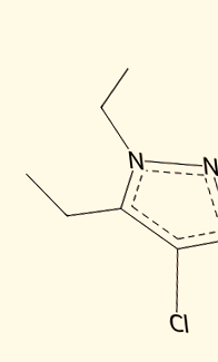 CCc1c(Cl)nnn1CC